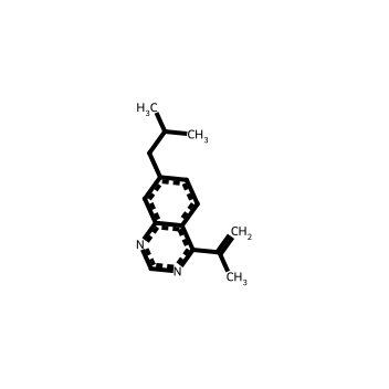 C=C(C)c1ncnc2cc(CC(C)C)ccc12